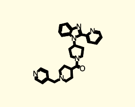 O=C(C1CCN(Cc2ccncc2)CC1)N1CCC(n2c(-c3ccccn3)nc3ccccc32)CC1